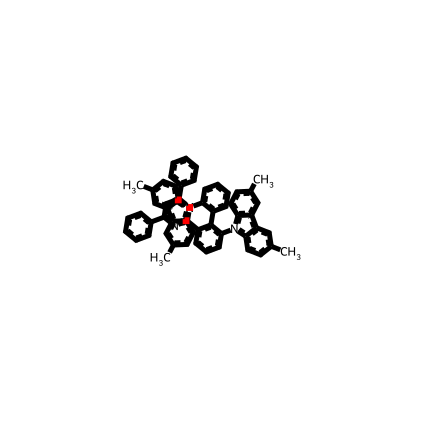 Cc1ccc2c(c1)c1cc(C)ccc1n2-c1ccccc1-c1c(-c2nc(-c3ccccc3)cc(-c3ccccc3)n2)cccc1-n1c2ccc(C)cc2c2cc(C)ccc21